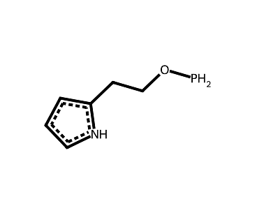 POCCc1ccc[nH]1